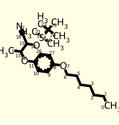 CCCCCCCOc1ccc(OC(C)C(C#N)O[Si](C)(C)C(C)(C)C)cc1